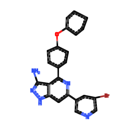 Nc1n[nH]c2cc(-c3cncc(Br)c3)nc(-c3ccc(Oc4ccccc4)cc3)c12